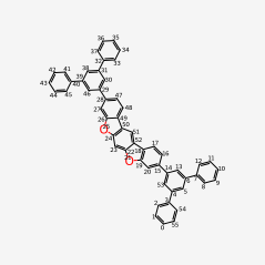 c1ccc(-c2cc(-c3ccccc3)cc(-c3ccc4c(c3)oc3cc5oc6cc(-c7cc(-c8ccccc8)cc(-c8ccccc8)c7)ccc6c5cc34)c2)cc1